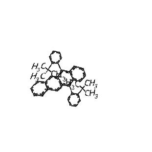 CC(C)(C)c1ccccc1-c1c2ccccc2c(-c2ccccc2C(C)(C)C)c2cc3ccccc3cc12